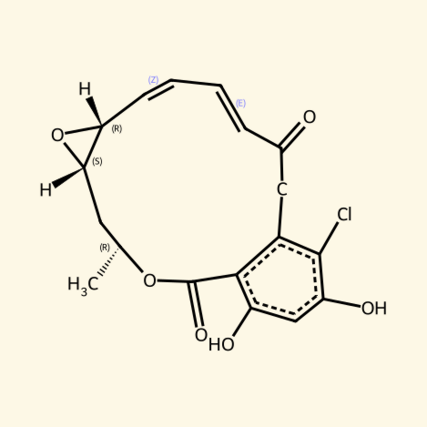 C[C@@H]1C[C@@H]2O[C@@H]2/C=C\C=C\C(=O)Cc2c(Cl)c(O)cc(O)c2C(=O)O1